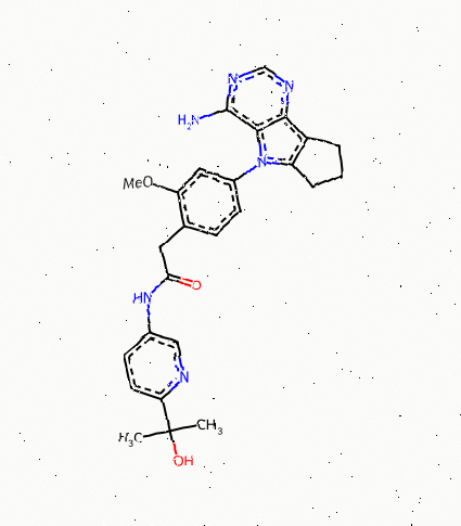 COc1cc(-n2c3c(c4ncnc(N)c42)CCC3)ccc1CC(=O)Nc1ccc(C(C)(C)O)nc1